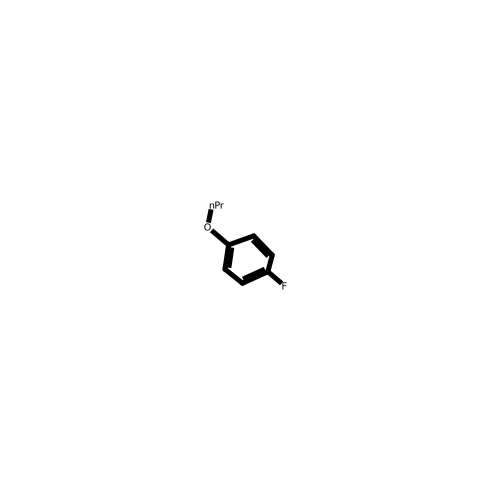 C[CH]COc1ccc(F)cc1